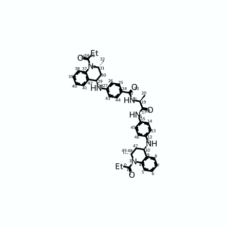 CCC(=O)N1c2ccccc2[C@H](Nc2ccc(NC(=O)[C@H](C)NC(=O)c3ccc(N[C@@H]4C[C@@H](C)N(C(=O)CC)c5ccccc54)cc3)cc2)C[C@H]1C